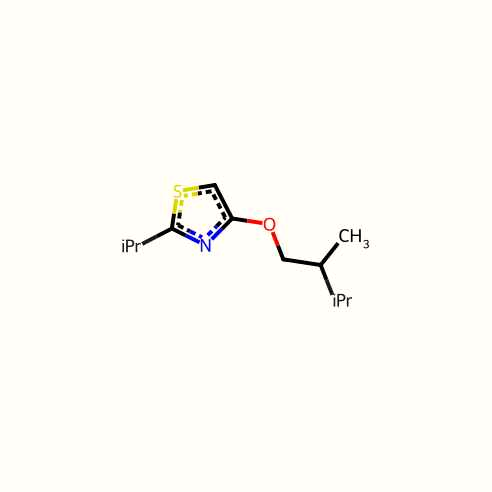 CC(C)c1nc(OCC(C)C(C)C)cs1